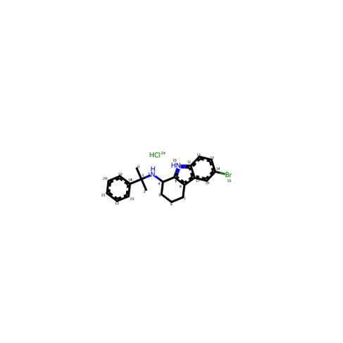 CC(C)(NC1CCCc2c1[nH]c1ccc(Br)cc21)c1ccccc1.Cl